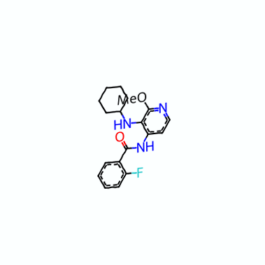 COc1nccc(NC(=O)c2ccccc2F)c1NC1CCCCC1